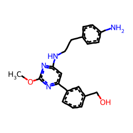 COc1nc(NCCc2ccc(N)cc2)cc(-c2cccc(CO)c2)n1